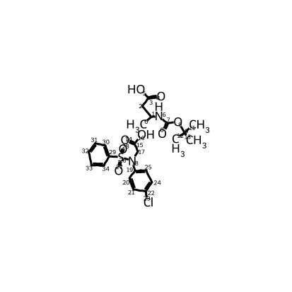 CC(CC(=O)O)NC(=O)OC(C)(C)C.O=C(O)CN(c1ccc(Cl)cc1)S(=O)(=O)c1ccccc1